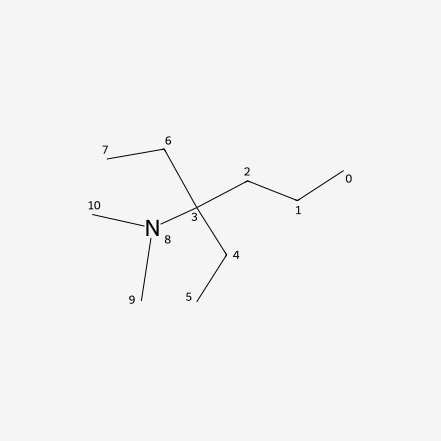 CCCC(CC)(CC)N(C)C